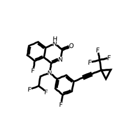 O=c1nc(N(CC(F)F)c2cc(F)cc(C#CC3(C(F)(F)F)CC3)c2)c2c(F)cccc2[nH]1